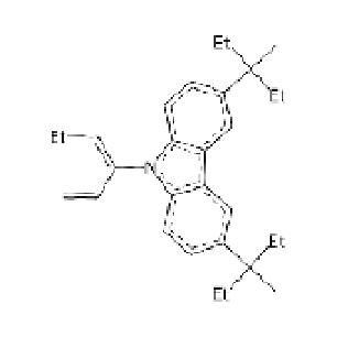 C=C/C(=C\CC)n1c2ccc(C(C)(CC)CC)cc2c2cc(C(C)(CC)CC)ccc21